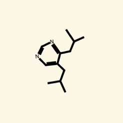 CC(C)Cc1cncnc1CC(C)C